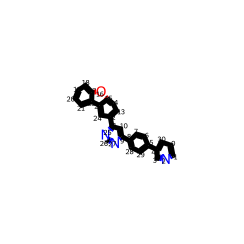 c1cncc(-c2ccc(-c3cc(-c4ccc5oc6ccccc6c5c4)ncn3)cc2)c1